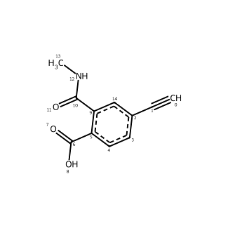 C#Cc1ccc(C(=O)O)c(C(=O)NC)c1